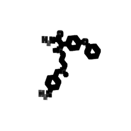 CN(CCCN(C)C(C(N)=O)c1ccc(Oc2ccccc2)cc1)Cc1ccc(N)cc1